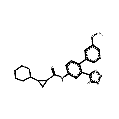 COc1cncc(-c2ccc(NC(=O)C3CC3C3CCCCC3)cc2-c2nnn[nH]2)c1